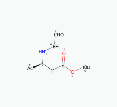 CC(=O)[C@H](CC(=O)OC(C)(C)C)NBC=O